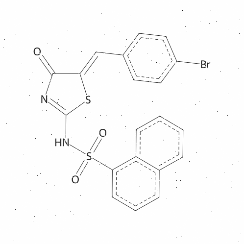 O=C1N=C(NS(=O)(=O)c2cccc3ccccc23)SC1=Cc1ccc(Br)cc1